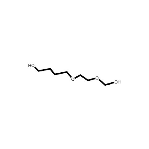 OCCCCOCCOCO